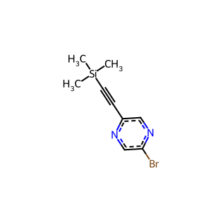 C[Si](C)(C)C#Cc1cnc(Br)cn1